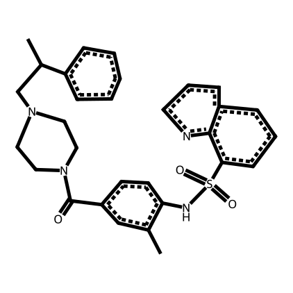 Cc1cc(C(=O)N2CCN(CC(C)c3ccccc3)CC2)ccc1NS(=O)(=O)c1cccc2cccnc12